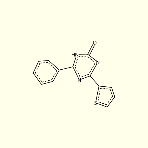 O=c1nc(-c2cccs2)nc(-c2ccccc2)[nH]1